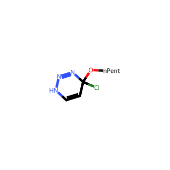 CCCCCOC1(Cl)C=[C]NN=N1